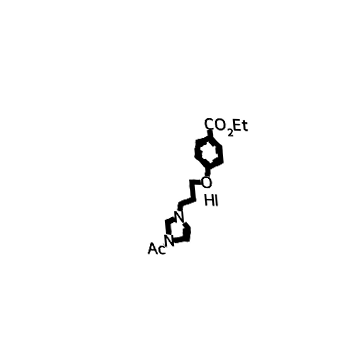 CCOC(=O)c1ccc(OCCCN2C=CN(C(C)=O)C2)cc1.I